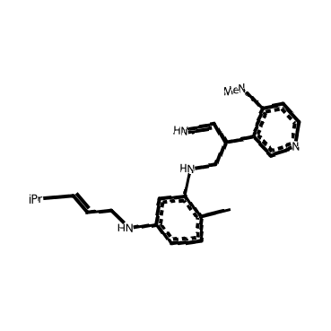 CNc1ccncc1C(C=N)CNc1cc(NC/C=C/C(C)C)ccc1C